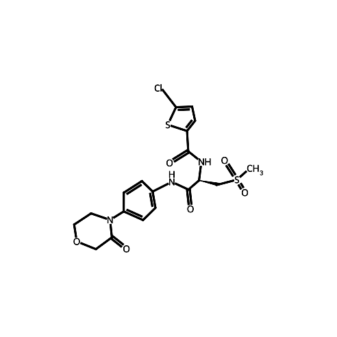 CS(=O)(=O)C[C@H](NC(=O)c1ccc(Cl)s1)C(=O)Nc1ccc(N2CCOCC2=O)cc1